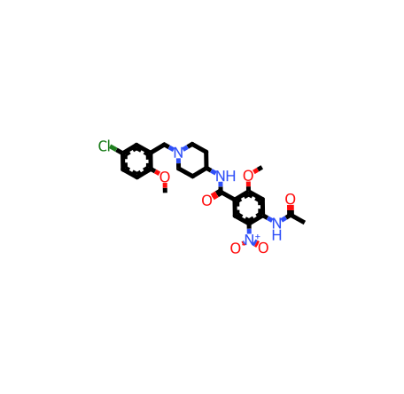 COc1ccc(Cl)cc1CN1CCC(NC(=O)c2cc([N+](=O)[O-])c(NC(C)=O)cc2OC)CC1